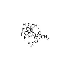 C=C(C)C(=O)Oc1c(F)c(F)c(F)c(F)c1F.C=C(CC(=O)OCC(F)(F)F)C(=O)OCC(F)(F)F